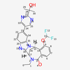 CCN1C(=O)c2cccc(OC(F)F)c2[C@H]2C[C@@H]1c1nc3ccc(-c4cnc(C(C)(C)O)nc4)cc3n12